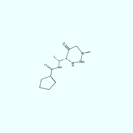 CC(NC(=O)C1CCCC1)C1NNN(C)CC1=O